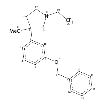 COC1(c2cccc(OCc3ccccc3)c2)CCN(CC(F)(F)F)C1